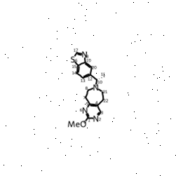 COc1ncc2c(n1)CCN([C@@H](C)c1ccc3scnc3c1)CC2